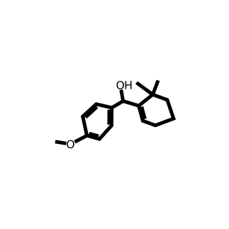 COc1ccc(C(O)C2=CCCCC2(C)C)cc1